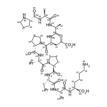 CC(C)C[C@H](NC(=O)[C@@H]1CCCN1C(=O)[C@@H](NC(=O)[C@@H]1CCCN1C(=O)[C@H](CCC(=O)O)NC(=O)[C@H](C)NC(=O)[C@H](C)NC(=O)[C@@H]1CCCN1)C(C)C)C(=O)N[C@H](C(=O)N[C@@H](CCCCN)C(=O)O)C(C)C